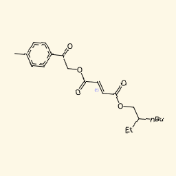 CCCCC(CC)COC(=O)/C=C/C(=O)OCC(=O)c1ccc(C)cc1